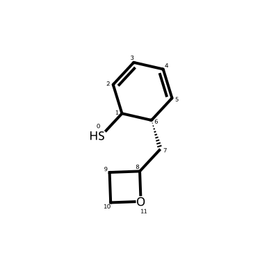 SC1C=CC=C[C@@H]1CC1CCO1